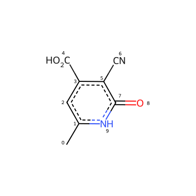 Cc1cc(C(=O)O)c(C#N)c(=O)[nH]1